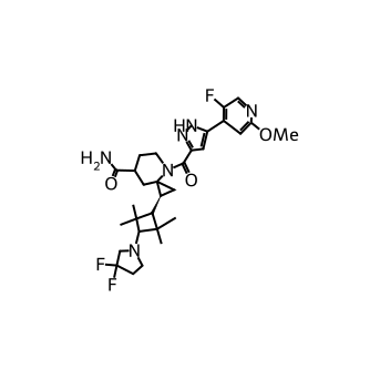 COc1cc(-c2cc(C(=O)N3CCC(C(N)=O)CC34C[C@H]4C3C(C)(C)C(N4CCC(F)(F)C4)C3(C)C)n[nH]2)c(F)cn1